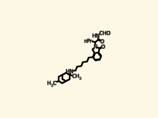 CCCC(C(=O)NC=O)N1Cc2c(CCCCCCNC3(C)CC4CC(C)CC(C4)C3)cccc2C1=O